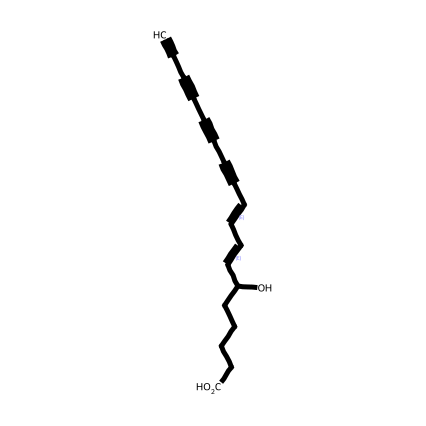 C#CC#CC#CC#C/C=C/C=C/C(O)CCCCC(=O)O